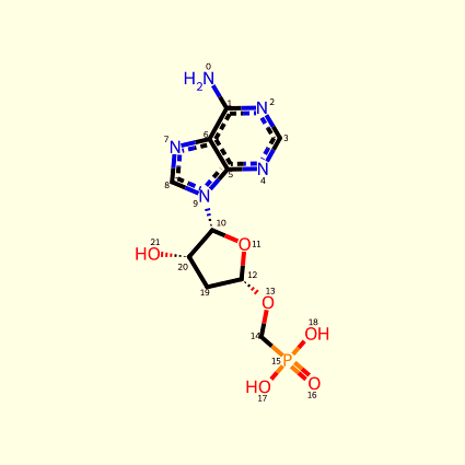 Nc1ncnc2c1ncn2[C@@H]1O[C@H](OCP(=O)(O)O)C[C@@H]1O